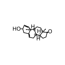 C[C@]12C=CC(O)CC1=CC[C@@H]1[C@H]2CC[C@]2(C)C(=O)CC[C@@H]12